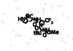 COC(=O)N[C@H](C(=O)N1C[C@H](C(F)(F)F)C[C@H]1C(=O)N[C@H](C#N)C[C@@H]1CCNC1=O)C(C)(C)C